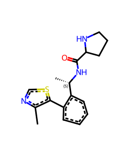 Cc1ncsc1-c1ccccc1[C@H](C)NC(=O)C1CCCN1